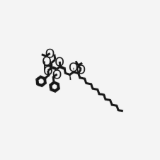 CCCCCCCCCCCCCCC1OC(C)(C)O[C@H]1[C@@H](C)CC=C1OC2COC(C)O[C@@H]2C(OCc2ccccc2)=C1OCc1ccccc1